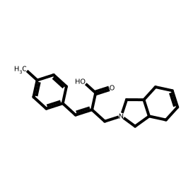 Cc1ccc(/C=C(/CN2CC3CC=CCC3C2)C(=O)O)cc1